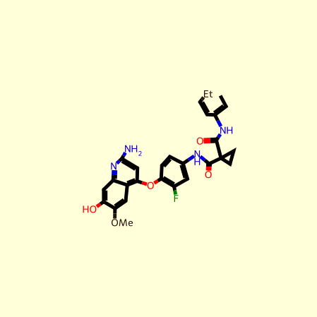 C/C=C(\C=C/CC)NC(=O)C1(C(=O)Nc2ccc(Oc3cc(N)nc4cc(O)c(OC)cc34)c(F)c2)CC1